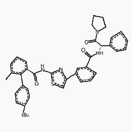 Cc1cccc(C(=O)Nc2nc(-c3cccc(C(=O)N[C@H](C(=O)N4CCCC4)c4ccccc4)c3)cs2)c1-c1ccc(C(C)(C)C)cc1